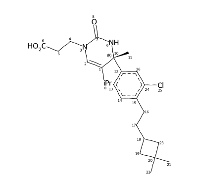 CC(C)C1=CN(CCC(=O)O)C(=O)N[C@]1(C)c1ccc(CCC2CC(C)(C)C2)c(Cl)c1